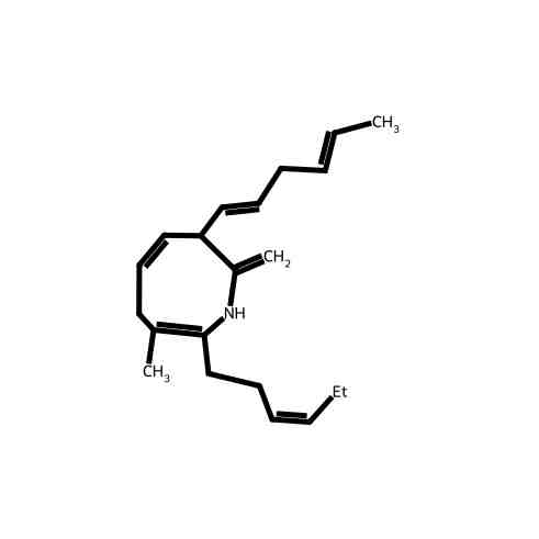 C=C1N/C(CC/C=C\CC)=C(/C)C/C=C\C1/C=C/C/C=C/C